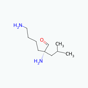 CC(C)C[C@](N)(C=O)CCCCN